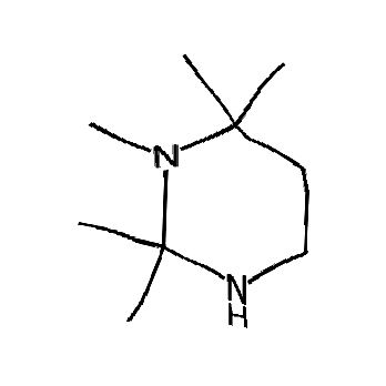 CN1C(C)(C)CCNC1(C)C